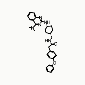 CN(C)c1nc(N[C@H]2CC[C@@H](CNC(=O)Cc3ccc(Oc4ccccc4)cc3)CC2)nc2ccccc12